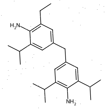 CCc1cc(Cc2cc(C(C)C)c(N)c(C(C)C)c2)cc(C(C)C)c1N